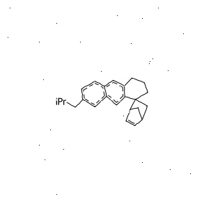 CC(C)Cc1ccc2cc3c(cc2c1)C1(CCC3)CC2C=CC1C2